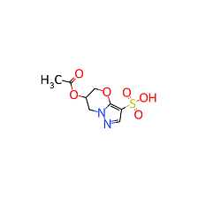 CC(=O)OC1COc2c(S(=O)(=O)O)cnn2C1